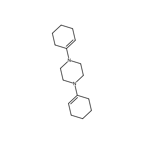 C1=C(N2CCN(C3=CCCCC3)CC2)CCCC1